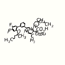 C=CCOC1(C)CCN(c2c([C@H](OC(C)(C)C)C(=O)O)c(C)cc3nc(-c4cccc(-c5cc(F)c(F)cc5O[C@@H](C)CC=C)c4)cn23)CC1